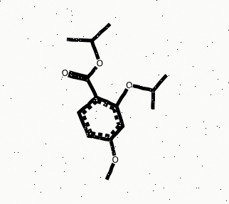 COc1ccc(C(=O)OC(C)C)c(OC(C)C)c1